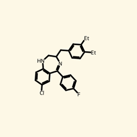 CCc1ccc(CC2CNc3ccc(Cl)cc3C(c3ccc(F)cc3)=N2)cc1CC